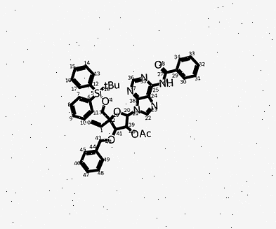 C=CC1(CO[Si](c2ccccc2)(c2ccccc2)C(C)(C)C)OC(n2cnc3c(NC(=O)c4ccccc4)ncnc32)C(OC(C)=O)C1OCc1ccccc1